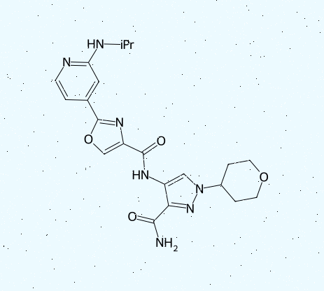 CC(C)Nc1cc(-c2nc(C(=O)Nc3cn(C4CCOCC4)nc3C(N)=O)co2)ccn1